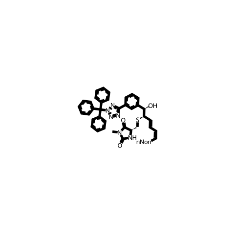 CCCCCCCCC/C=C\C=C\[C@H](SC[C@@H]1NC(=O)N(C)C1=O)[C@@H](O)c1cccc(-c2nnn(C(c3ccccc3)(c3ccccc3)c3ccccc3)n2)c1